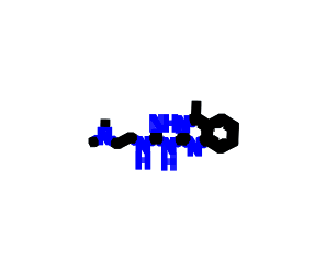 Cc1nc(NC(=N)NCCN(C)C)nc2ccccc12